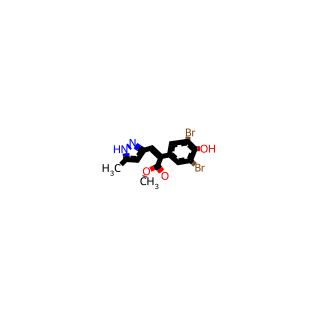 COC(=O)C(=Cc1cc(C)[nH]n1)c1cc(Br)c(O)c(Br)c1